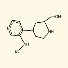 CCNc1cnccc1N1CCNC(CO)C1